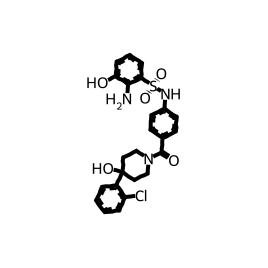 Nc1c(O)cccc1S(=O)(=O)Nc1ccc(C(=O)N2CCC(O)(c3ccccc3Cl)CC2)cc1